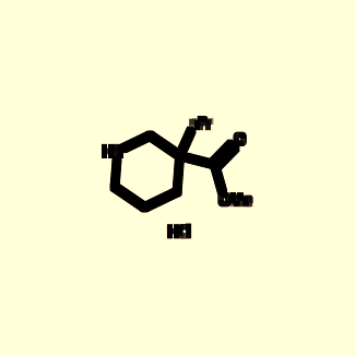 CCCC1(C(=O)OC)CCCNC1.Cl